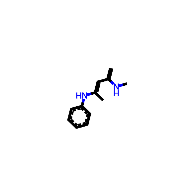 C=C(/C=C(\C)Nc1ccccc1)NC